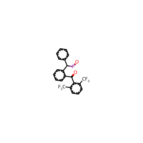 O=PC(c1ccccc1)c1ccccc1C(=O)c1c(C(F)(F)F)cccc1C(F)(F)F